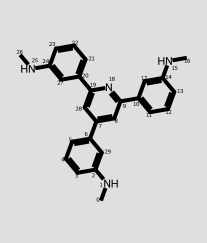 CNc1cccc(-c2cc(-c3cccc(NC)c3)nc(-c3cccc(NC)c3)c2)c1